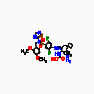 COc1ccc(CN(c2ncns2)S(=O)(=O)c2cc(F)c(NCC(CC3(CCN)CCC3)C(C)NC(=O)O)cc2F)c(OC)c1